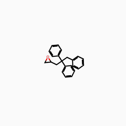 c1ccc(CC(CC2CO2)(c2ccccc2)c2ccccc2)cc1